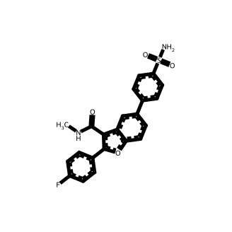 CNC(=O)c1c(-c2ccc(F)cc2)oc2ccc(-c3ccc(S(N)(=O)=O)cc3)cc12